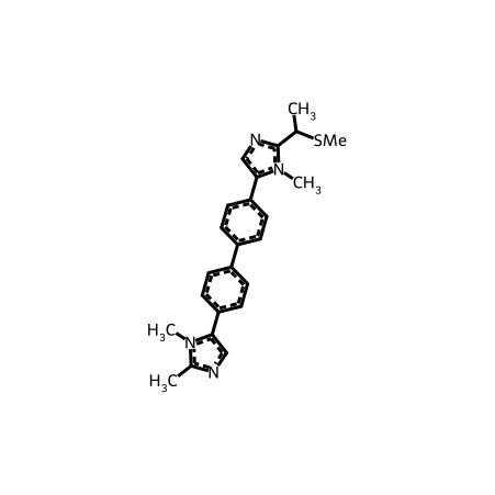 CSC(C)c1ncc(-c2ccc(-c3ccc(-c4cnc(C)n4C)cc3)cc2)n1C